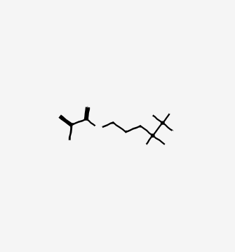 C=C(C)C(=O)OCCCC(C)(O)C(F)(F)F